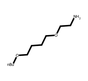 CCCCOCCCCOCCN